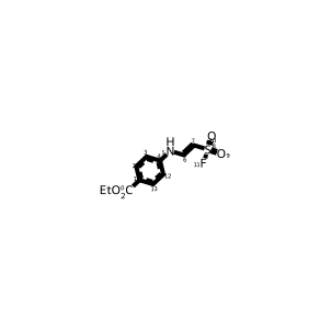 CCOC(=O)c1ccc(N/C=C/S(=O)(=O)F)cc1